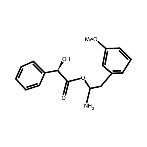 COc1cccc(CC(N)OC(=O)[C@H](O)c2ccccc2)c1